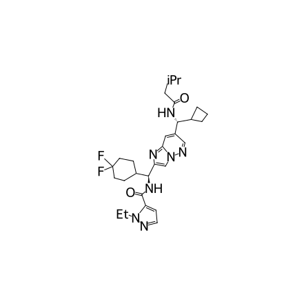 CCn1nccc1C(=O)N[C@H](c1cn2ncc([C@H](NC(=O)CC(C)C)C3CCC3)cc2n1)C1CCC(F)(F)CC1